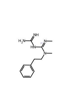 C/N=C(/NC(=N)N)N(C)CCc1ccccc1